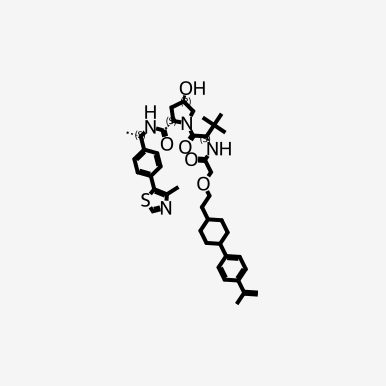 C=C(C)c1ccc(C2CCC(CCOCC(=O)N[C@H](C(=O)N3C[C@H](O)C[C@H]3C(=O)N[C@@H](C)c3ccc(-c4scnc4C)cc3)C(C)(C)C)CC2)cc1